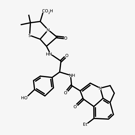 CCc1ccc2c3c1c(=O)c(C(=O)NC(C(=O)NC1C(=O)N4C1SC(C)(C)C4C(=O)O)c1ccc(O)cc1)cn3CC2